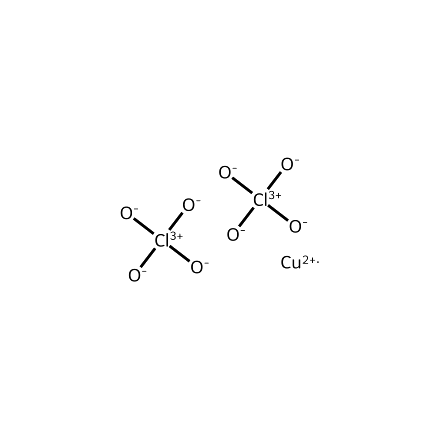 [Cu+2].[O-][Cl+3]([O-])([O-])[O-].[O-][Cl+3]([O-])([O-])[O-]